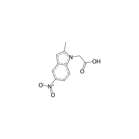 Cc1cc2cc([N+](=O)[O-])ccc2n1CC(=O)O